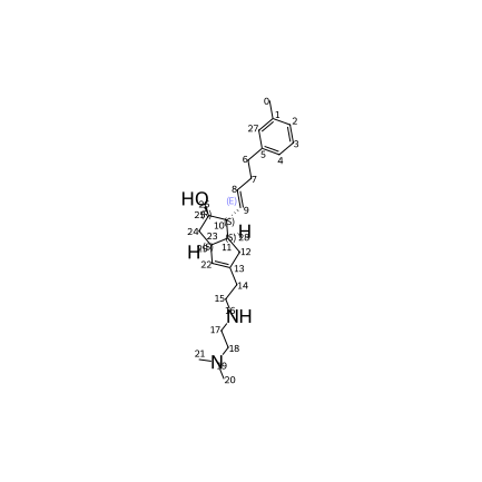 Cc1cccc(CC/C=C/[C@@H]2[C@H]3CC(CCNCCN(C)C)=C[C@H]3C[C@H]2O)c1